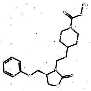 CC(C)(C)OC(=O)N1CCC(CCN2C(=O)OC[C@H]2COc2ccccc2)CC1